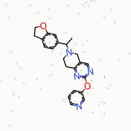 CC(c1ccc2c(c1)OCC2)N1CCc2nc(Oc3cccnc3)ncc2C1